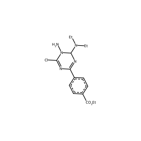 CCOC(=O)c1ccc(C2=NC(N(CC)CC)N(N)C(Cl)=N2)cc1